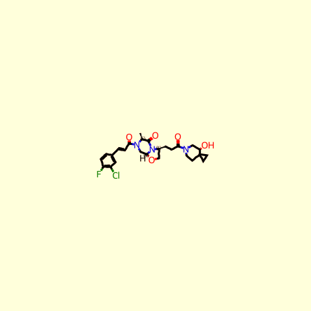 C[C@H]1C(=O)N2[C@@H](CCC(=O)N3CCC4(CC4)C(O)C3)CO[C@H]2CN1C(=O)C=Cc1ccc(F)c(Cl)c1